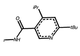 CC(C)c1cc(C(C)(C)C)ncc1C(=O)NC(C)(C)C